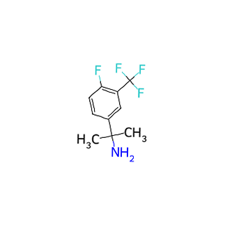 CC(C)(N)c1ccc(F)c(C(F)(F)F)c1